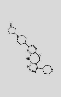 c1nc2c(c(N3CCOCC3)n1)COc1ccc(C3CCN(C4CCNC4)CC3)cc1N2